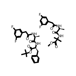 COC(=O)C(C)(C)NC(=O)[C@H](C)NC(=O)Cc1cc(F)cc(F)c1.C[C@H](NC(=O)Cc1cc(F)cc(F)c1)C(=O)N[C@@H](Cc1ccccc1)C(=O)OC(C)(C)C